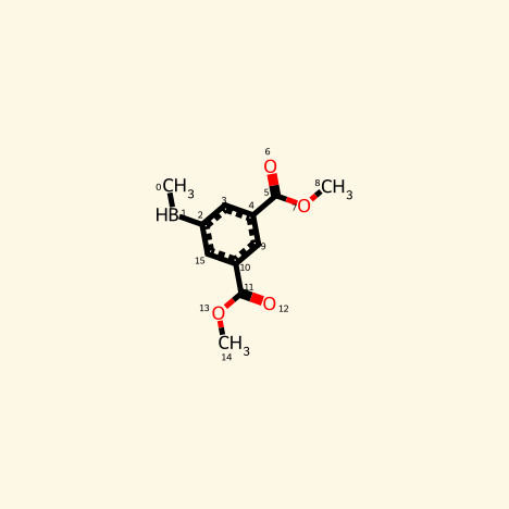 CBc1cc(C(=O)OC)cc(C(=O)OC)c1